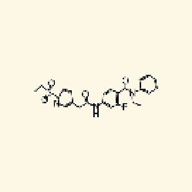 CCN(C(=O)c1ccc(NC(=O)Cc2ccc(S(=O)(=O)CC)nc2)cc1F)c1ccccc1